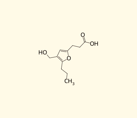 CCCc1oc(CCC(=O)O)cc1CO